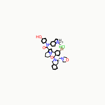 Cl.Cn1ccc2cc(N(C(=O)c3cc(-c4cc(Br)ccc4C(=O)N4Cc5ccccc5C[C@H]4CN4CCOCC4)n4c3CCCC4)c3ccc(O)cc3)ccc21